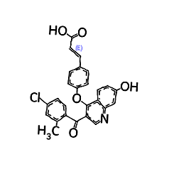 Cc1cc(Cl)ccc1C(=O)c1cnc2cc(O)ccc2c1Oc1ccc(/C=C/C(=O)O)cc1